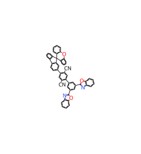 N#Cc1cc(-c2ccc3c(c2)C2(c4ccccc4Oc4ccccc42)c2ccccc2-3)c(C#N)cc1-c1cc(-c2nc3ccccc3o2)cc(-c2nc3ccccc3o2)c1